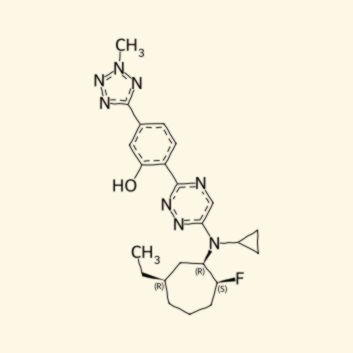 CC[C@@H]1CCC[C@H](F)[C@H](N(c2cnc(-c3ccc(-c4nnn(C)n4)cc3O)nn2)C2CC2)C1